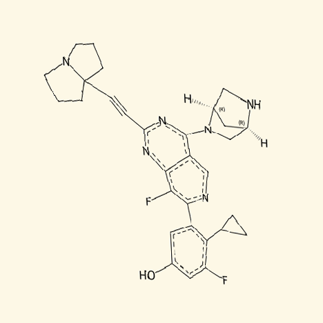 Oc1cc(F)c(C2CC2)c(-c2ncc3c(N4C[C@H]5C[C@@H]4CN5)nc(C#CC45CCCN4CCC5)nc3c2F)c1